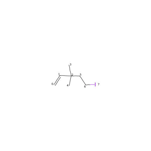 C=CC(C)(C)CCI